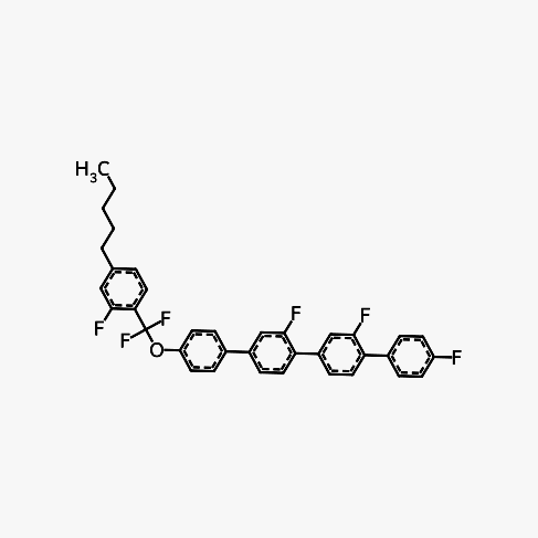 CCCCCc1ccc(C(F)(F)Oc2ccc(-c3ccc(-c4ccc(-c5ccc(F)cc5)c(F)c4)c(F)c3)cc2)c(F)c1